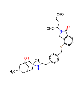 CC1CC2CC(O)(C1)CC(C)(NCCc1ccc(CSc3cccc4c3CN(C(C=O)CCC=O)C4=O)cc1)C2